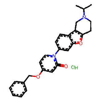 CC(C)N1CCc2oc3cc(-n4ccc(OCc5ccccc5)cc4=O)ccc3c2C1.Cl